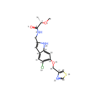 CO[C@@H](C)C(=O)NCc1cc2cc(Cl)c(OCc3cscn3)cc2[nH]1